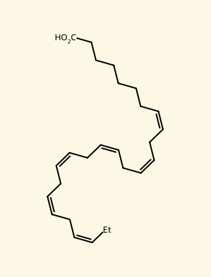 CC/C=C\C/C=C\C/C=C\C/C=C\C/C=C\C/C=C\CCCCCCC(=O)O